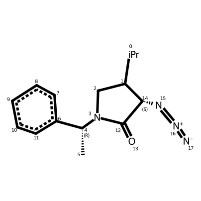 CC(C)C1CN([C@H](C)c2ccccc2)C(=O)[C@H]1N=[N+]=[N-]